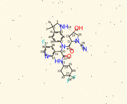 CC1(C)CNc2cc(N(C(=O)[C@H]3C[C@@](C)(O)CN3C#N)C(C(=O)NC3CCC(F)(F)CC3)c3cncc(F)c3)ccc21